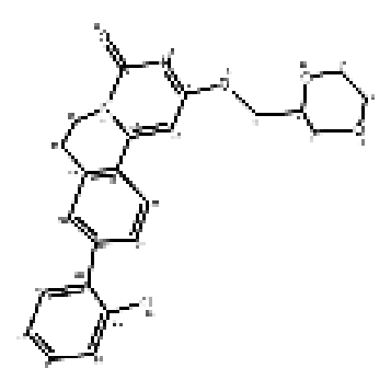 O=c1nc(OCC2COCCO2)cc2n1CCc1cc(-c3ccccc3Cl)ccc1-2